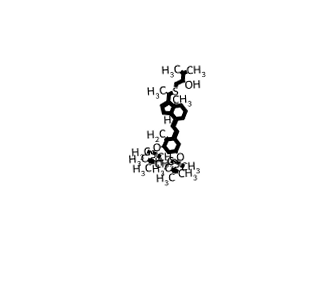 C=C1C(=CC=C2CCC[C@]3(C)C([C@H](C)SC[C@H](O)C(C)C)=CC[C@@H]23)C[C@@H](O[Si](C)(C)C(C)(C)C)C[C@@H]1O[Si](C)(C)C(C)(C)C